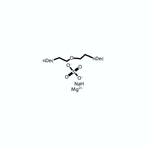 CCCCCCCCCCCCOCCCCCCCCCCCC.O=S(=O)([O-])[O-].[Mg+2].[NaH]